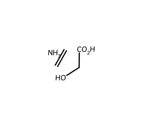 C=C.N.O=C(O)CO